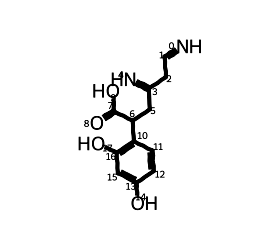 N=CCC(=N)CC(C(=O)O)c1ccc(O)cc1O